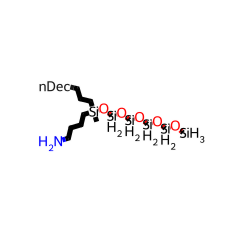 CCCCCCCCCCCCC[Si](C)(CCCCN)O[SiH2]O[SiH2]O[SiH2]O[SiH2]O[SiH3]